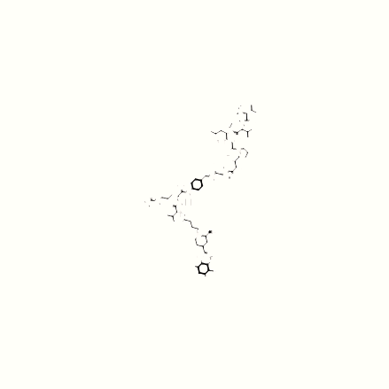 CC[C@H](C)[C@@H]([C@@H](CC(=O)N1CCC[C@H]1[C@H](OC)[C@@H](C)C(=O)NCC(O)NCc1ccc(NC(=O)[C@H](CCCNC(N)=O)NC(=O)[C@@H](NC(=O)CCCN2CCC(C(=O)Oc3c(F)c(F)c(F)c(F)c3F)CC2C(F)(F)F)C(C)C)cc1)OC)N(C)C(=O)[C@@H](NC(=O)[C@H](C(C)C)N(C)C)C(C)C